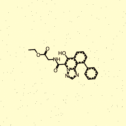 CCOC(=O)CNC(=O)c1c(O)c2cccc(-c3ccccc3)c2c2ncnn12